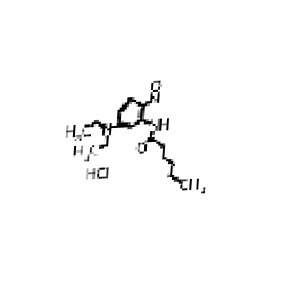 CCCCCC(=O)Nc1cc(N(CC)CC)ccc1N=O.Cl